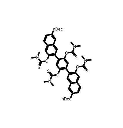 CCCCCCCCCCc1ccc2cc(OC(=S)N(C)C)c(-c3cc(OC(=S)N(C)C)c(-c4cc5cc(CCCCCCCCCC)ccc5cc4OC(=S)N(C)C)cc3OC(=S)N(C)C)cc2c1